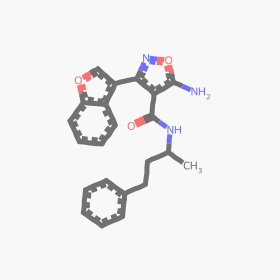 CC(CCc1ccccc1)NC(=O)c1c(-c2coc3ccccc23)noc1N